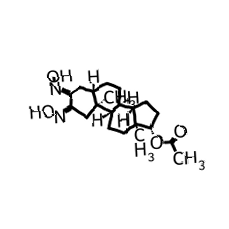 CC(=O)O[C@H]1CC[C@H]2[C@@H]3CC[C@H]4CC(=N\O)/C(=N\O)C[C@]4(C)[C@H]3CC[C@]12C